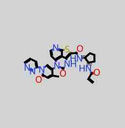 C=CC(=O)N[C@H]1CCC[C@H]1NC(=O)c1sc2nccc3c2c1NC(=O)N3c1cn(-c2cccnn2)c(=O)cc1C